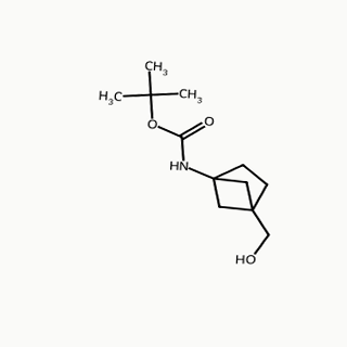 CC(C)(C)OC(=O)NC12CCC(CO)(C1)C2